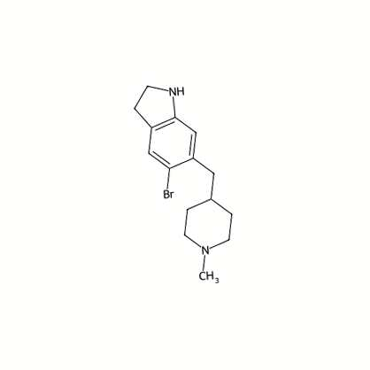 CN1CCC(Cc2cc3c(cc2Br)CCN3)CC1